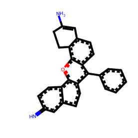 N=c1ccc2c(ccc3c(-c4ccccc4)c4ccc5c(c4oc32)CCC(N)=C5)c1